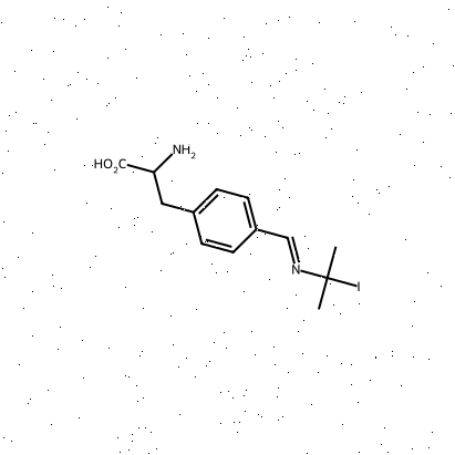 CC(C)(I)/N=C/c1ccc(CC(N)C(=O)O)cc1